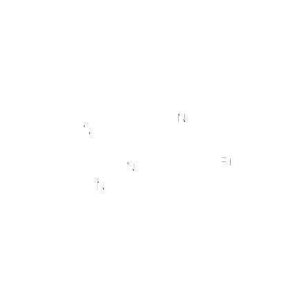 CCc1cn2ncnc2cn1